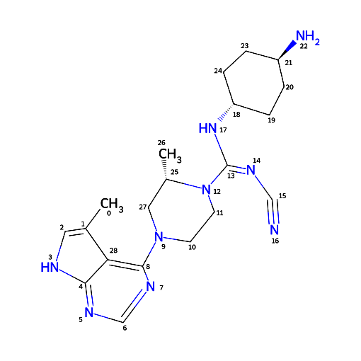 Cc1c[nH]c2ncnc(N3CCN(/C(=N\C#N)N[C@H]4CC[C@H](N)CC4)[C@@H](C)C3)c12